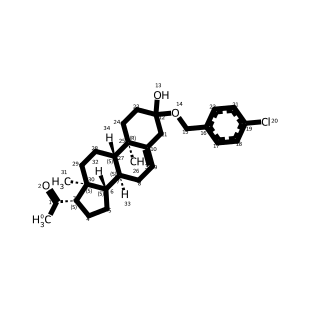 CC(=O)[C@H]1CC[C@H]2[C@@H]3CC=C4CC(O)(OCc5ccc(Cl)cc5)CC[C@]4(C)[C@H]3CC[C@]12C